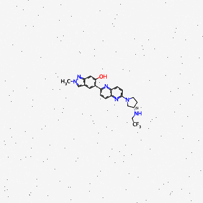 Cn1cc2cc(-c3ccc4nc(N5CC[C@H](NCC(F)(F)F)C5)ccc4n3)c(O)cc2n1